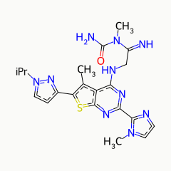 Cc1c(-c2ccn(C(C)C)n2)sc2nc(-c3nccn3C)nc(NCC(=N)N(C)C(N)=O)c12